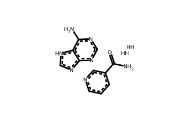 NC(=O)c1cccnc1.Nc1ncnc2nc[nH]c12.[HH].[HH]